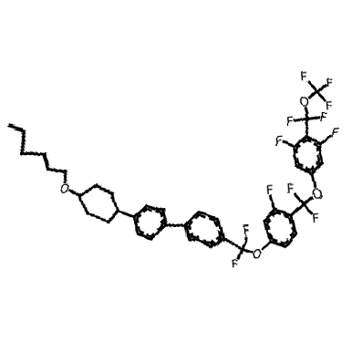 CCCCCCOC1CCC(c2ccc(-c3ccc(C(F)(F)Oc4ccc(C(F)(F)Oc5cc(F)c(C(F)(F)OC(F)(F)F)c(F)c5)c(F)c4)cc3)cc2)CC1